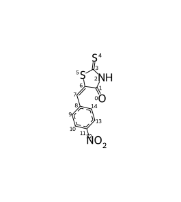 O=C1NC(=S)S/C1=C/c1ccc([N+](=O)[O-])cc1